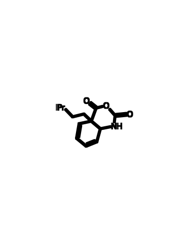 CC(C)CCC12C=CC=CC1NC(=O)OC2=O